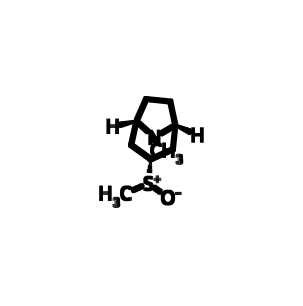 CN1[C@@H]2CC[C@H]1C[C@@H]([S+](C)[O-])C2